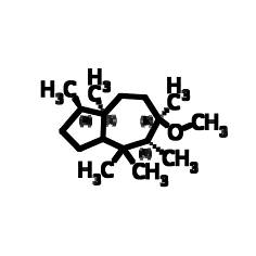 CO[C@]1(C)CC[C@@]2(C)C(CC[C@H]2C)C(C)(C)[C@H]1C